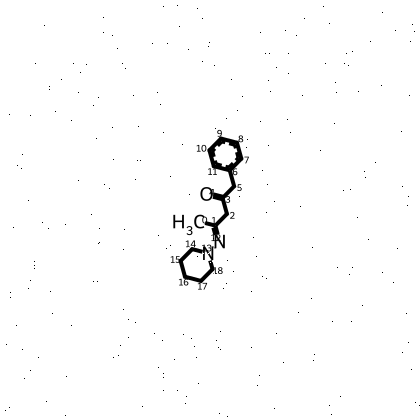 C/C(CC(=O)Cc1ccccc1)=N\N1CCCCC1